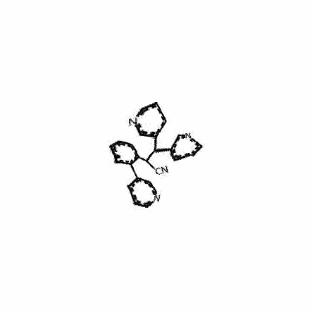 N#CC(c1ccccc1-c1cccnc1)C(c1cccnc1)c1cccnc1